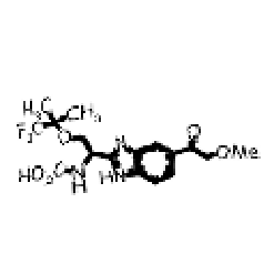 COCC(=O)c1ccc2[nH]c(C(COC(C)(C)C(F)(F)F)NC(=O)O)nc2c1